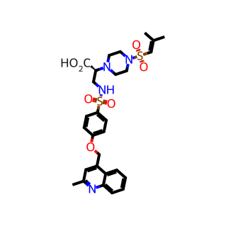 CC(C)=CS(=O)(=O)N1CCN([C@@H](CNS(=O)(=O)c2ccc(OCc3cc(C)nc4ccccc34)cc2)C(=O)O)CC1